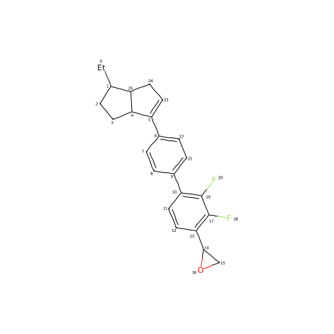 CCC1CCC2C(c3ccc(-c4ccc(C5CO5)c(F)c4F)cc3)=CCC12